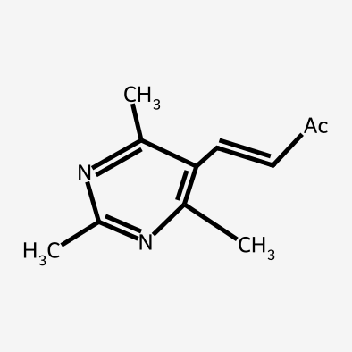 CC(=O)C=Cc1c(C)nc(C)nc1C